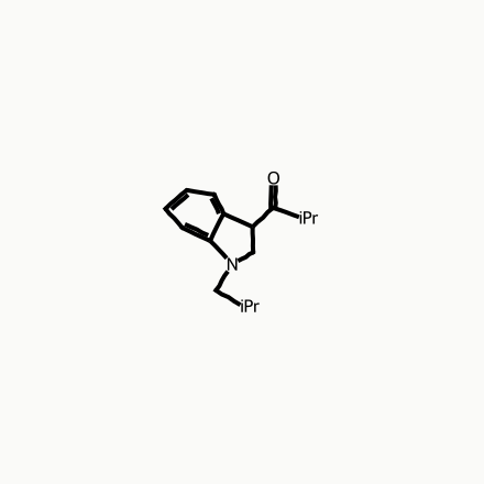 CC(C)CN1CC(C(=O)C(C)C)c2ccccc21